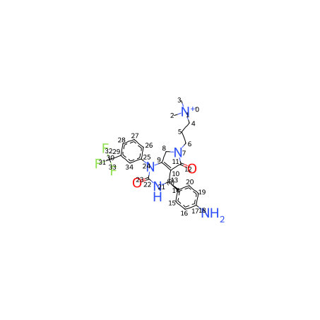 C[N+](C)(C)CCCN1CC2=C(C1=O)[C@@H](c1ccc(N)cc1)NC(=O)N2c1cccc(C(F)(F)F)c1